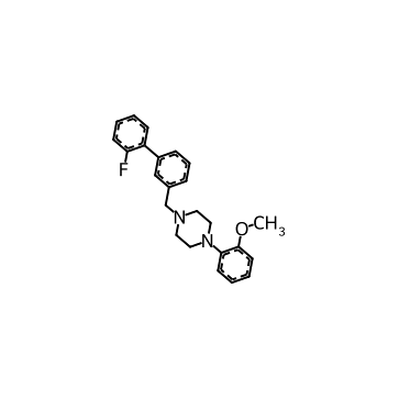 COc1ccccc1N1CCN(Cc2cccc(-c3ccccc3F)c2)CC1